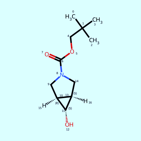 CC(C)(C)COC(=O)N1C[C@@H]2[C@@H](O)[C@@H]2C1